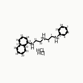 Cl.Cl.c1ccc(NCCNCCNc2cccc3ccccc23)cc1